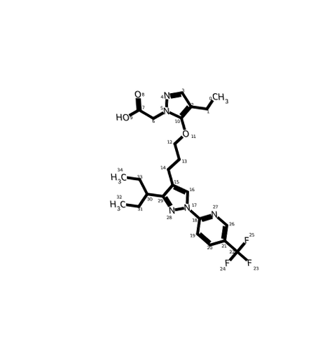 CCc1cnn(CC(=O)O)c1OCCCc1cn(-c2ccc(C(F)(F)F)cn2)nc1C(CC)CC